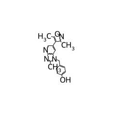 Cc1noc(C)c1-c1cnc2nc(C)n(Cc3ccc(O)cc3)c2c1